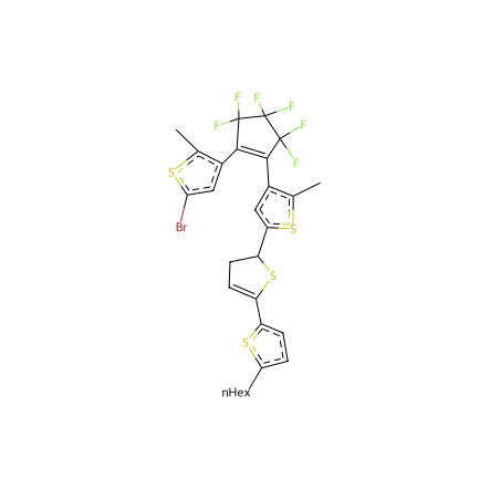 CCCCCCc1ccc(C2=CCC(c3cc(C4=C(c5cc(Br)sc5C)C(F)(F)C(F)(F)C4(F)F)c(C)s3)S2)s1